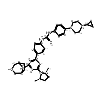 C[C@@H]1CC[C@H](C)N1c1nc(-c2ccc(NC(=O)Nc3ccc(N4CCN(C5CC5)CC4)cc3)cc2)nc(N2C3CCC2COC3)n1